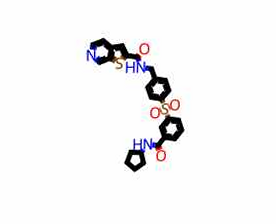 O=C(NC1CCCC1)c1cccc(S(=O)(=O)c2ccc(CNC(=O)c3cc4ccncc4s3)cc2)c1